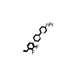 C=Cc1ccc([C@H]2CC[C@H]([C@H]3CC[C@H](CCC)CC3)CC2)c(F)c1F